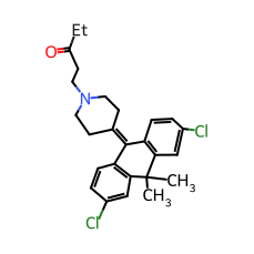 CCC(=O)CCN1CCC(=C2c3ccc(Cl)cc3C(C)(C)c3cc(Cl)ccc32)CC1